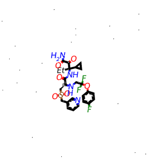 CCC(NC(=O)[C@H](CS(=O)(=O)Cc1cccnc1)NCC(F)(F)Oc1ccc(F)cc1)(C(=O)C(N)=O)C1CC1